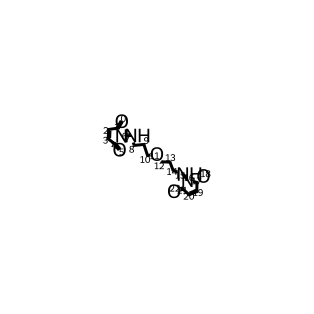 O=C1C=CC(=O)N1NCCCOCCCNN1C(=O)C=CC1=O